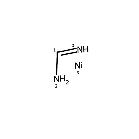 N=CN.[Ni]